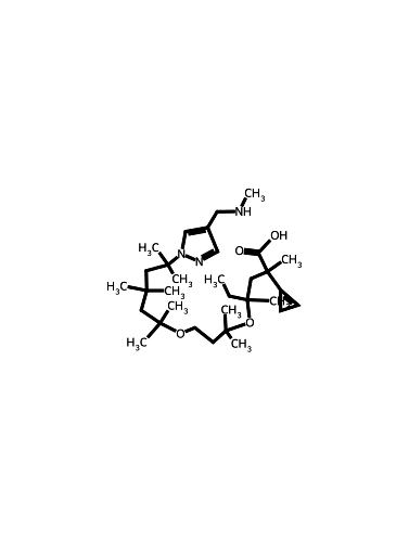 CCC(C)(CC(C)(C(=O)O)C1=CC1)OC(C)(C)CCOC(C)(C)CC(C)(C)CC(C)(C)n1cc(CNC)cn1